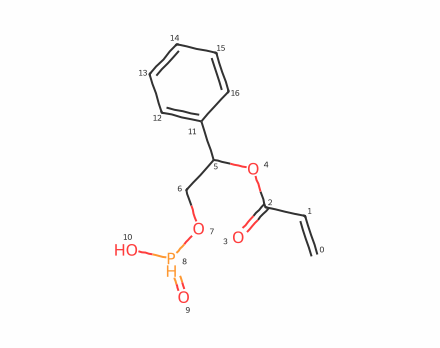 C=CC(=O)OC(CO[PH](=O)O)c1ccccc1